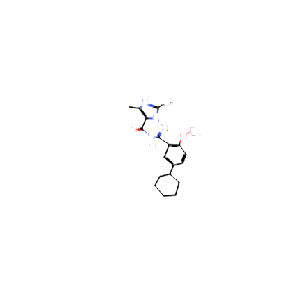 CCCc1nc(C)c2c(=O)[nH]c(-c3cc(C4CCCCC4)ccc3OCC)nn12